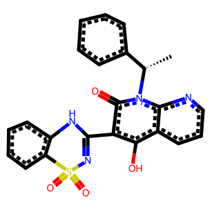 C[C@@H](c1ccccc1)n1c(=O)c(C2=NS(=O)(=O)c3ccccc3N2)c(O)c2cccnc21